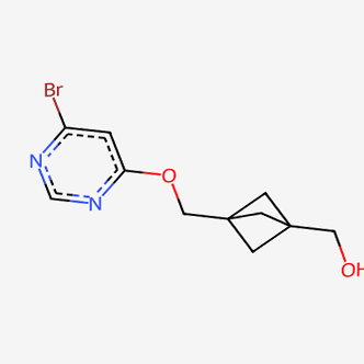 OCC12CC(COc3cc(Br)ncn3)(C1)C2